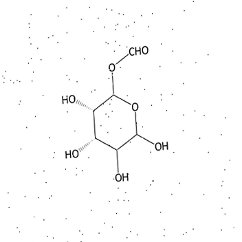 O=COC1OC(O)C(O)[C@H](O)[C@@H]1O